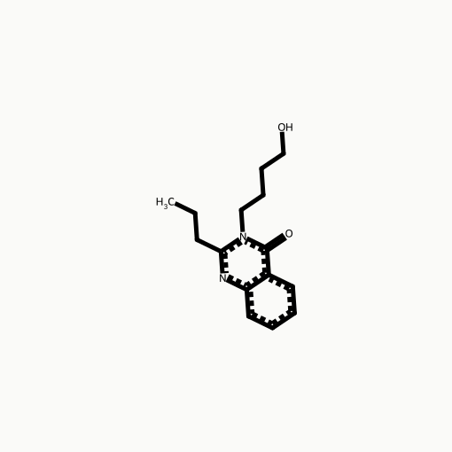 CCCc1nc2ccccc2c(=O)n1CCCCO